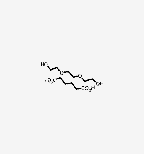 O=C(O)CCCCC(=O)O.OCCOCCOCCO